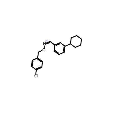 Clc1ccc(CO/N=[C]\c2cccc(C3CCCCC3)c2)cc1